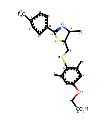 Cc1cc(OCC(=O)O)cc(C)c1SCC1SC(c2ccc(C(F)(F)F)cc2)=NC1C